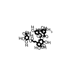 Cc1cc(C(=O)O[C@@H]2Cc3c(O)cc(O)cc3O[C@@H]2c2cc(O)c(=O)c3c(O)c(O)cc(/C=C/C(=O)OC4CC(O)(C(=O)O)CC(O)C4O)c3c2)cc(O)c1O